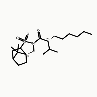 CCCCCC[C@@H](C(=O)N1C[C@@]23CCC(CC2S1(=O)=O)C3(C)C)C(C)C